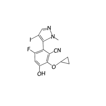 Cn1ncc(I)c1-c1c(F)cc(O)c(OC2CC2)c1C#N